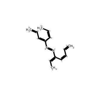 C=C/C=C\C(=C/C)N=NC(/C=C\C)=C/C=C